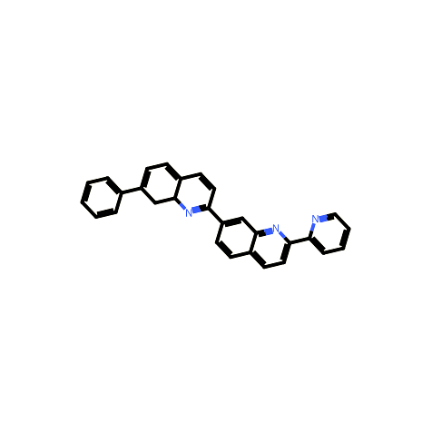 C1=CC(c2ccc3ccc(-c4ccccn4)nc3c2)=NC2CC(c3ccccc3)=CC=C12